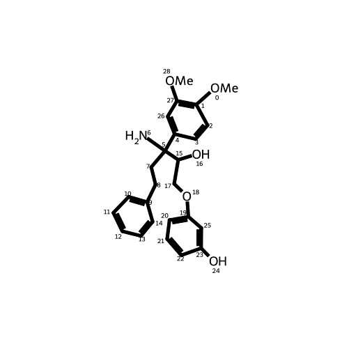 COc1ccc(C(N)(CCc2ccccc2)C(O)COc2cccc(O)c2)cc1OC